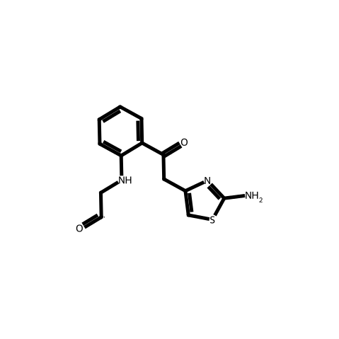 Nc1nc(CC(=O)c2ccccc2NC[C]=O)cs1